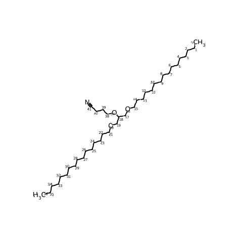 CCCCCCCCCCCCCCCCOCC(COCCCCCCCCCCCCCCCC)OCCCC#N